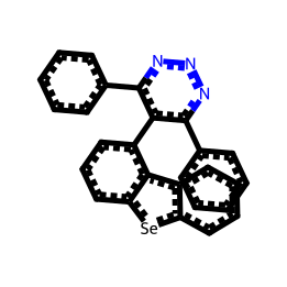 c1ccc(-c2nnnc(-c3ccccc3)c2-c2cccc3[se]c4ccccc4c23)cc1